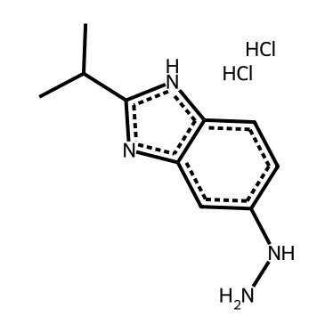 CC(C)c1nc2cc(NN)ccc2[nH]1.Cl.Cl